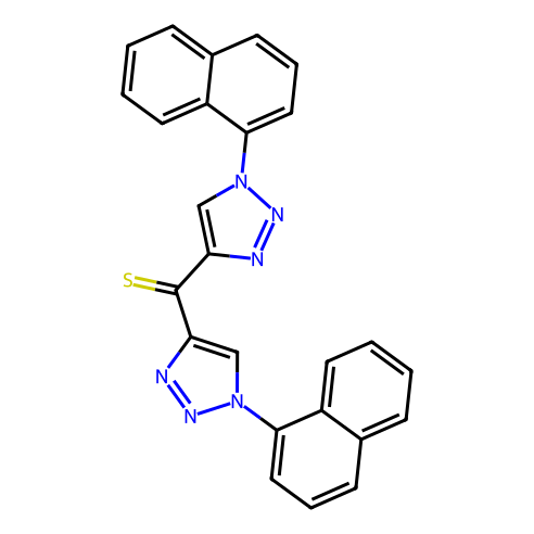 S=C(c1cn(-c2cccc3ccccc23)nn1)c1cn(-c2cccc3ccccc23)nn1